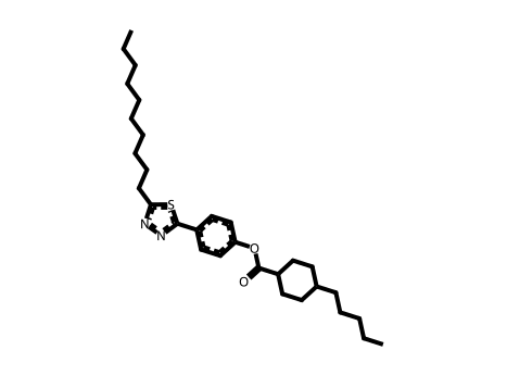 CCCCCCCCCCc1nnc(-c2ccc(OC(=O)C3CCC(CCCCC)CC3)cc2)s1